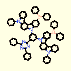 c1ccc(B(c2ccccc2)c2ccc3c(c2)c2c4c5ccccc5n(-c5ccccc5)c4ccc2n3-c2cc(-c3nc(-c4ccccc4)nc(-c4ccccc4)n3)cc(-n3c4ccc(B(c5ccccc5)c5ccccc5)cc4c4c5c6ccccc6n(-c6ccccc6)c5ccc43)c2)cc1